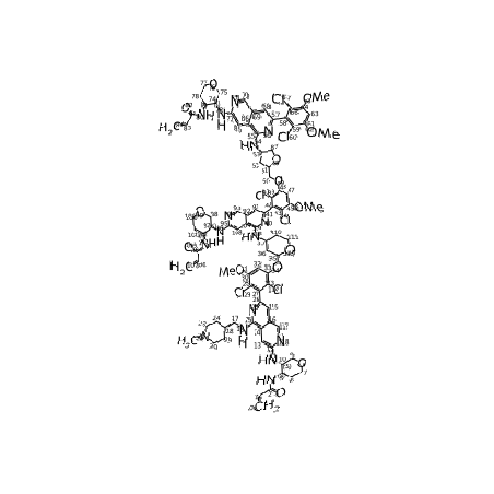 C=CC(=O)N[C@H]1CCOC[C@H]1Nc1cc2c(NCC3CCN(C)CC3)nc(-c3c(Cl)c(OC)cc(OC4CC(Nc5nc(-c6c(Cl)c(OC)cc(OCC7CC(Nc8nc(-c9c(Cl)c(OC)cc(OC)c9Cl)cc9cnc(N[C@@H]%10COCC[C@@H]%10NC(=O)C=C)cc89)CO7)c6Cl)cc6cnc(N[C@@H]7COCC[C@@H]7NC(=O)C=C)cc56)CCO4)c3Cl)cc2cn1